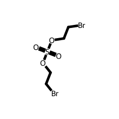 O=S(=O)(OCCBr)OCCBr